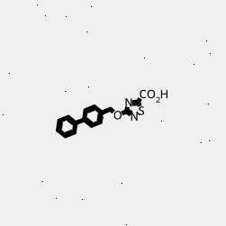 O=C(O)c1nc(OCc2ccc(-c3ccccc3)cc2)ns1